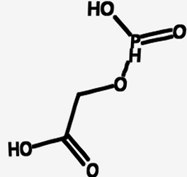 O=C(O)CO[PH](=O)O